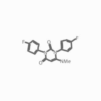 CNc1cc(=O)n(-c2ccc(F)cc2)c(=O)n1-c1ccc(F)cc1